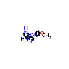 COc1ccc(Nc2ccnc3[nH]c4c(c23)CNCC4)cc1